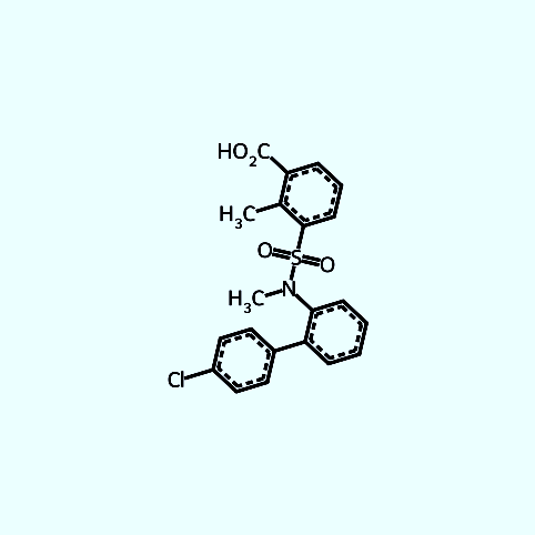 Cc1c(C(=O)O)cccc1S(=O)(=O)N(C)c1ccccc1-c1ccc(Cl)cc1